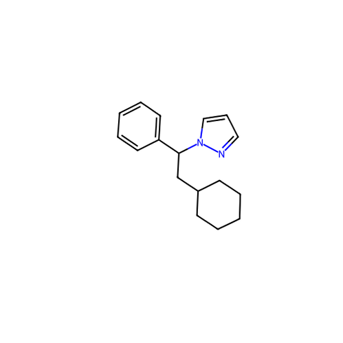 c1ccc(C(CC2CCCCC2)n2cccn2)cc1